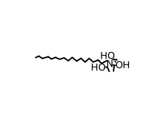 CCCCCCCCCCCCCCCCCC[N+](C(C)O)(C(C)O)C(C)O